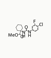 COC(=O)C1(NC(=O)Nc2ccc(Cl)c(F)c2)CCCCC1